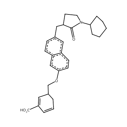 O=C(O)C1=CC(COc2ccc3cc(CC4CCN(C5CCCCC5)C4=O)ccc3c2)CC=C1